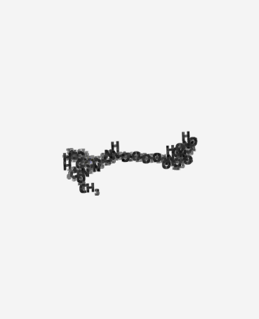 CCCOc1ccccc1-c1ncc(-c2ncc(-c3ccc(NCCOCCOCCOCCOCCC(=O)Nc4cccc5c4C(=O)N(C4CCC(=O)NC4=O)C5=O)nc3)cc2/C=C/c2ccc3c(c2)C[C@H]2CC32)cc1C